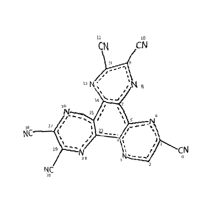 N#Cc1cnc2c(n1)c1nc(C#N)c(C#N)nc1c1nc(C#N)c(C#N)nc21